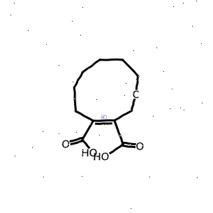 O=C(O)/C1=C(\C(=O)O)CCCCCCCC1